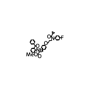 COC(=O)[C@H](Cc1ccc(OCCCN(C(=O)C2CC2)c2ccc(F)cc2)cc1)Nc1ccccc1C(=O)c1ccccc1